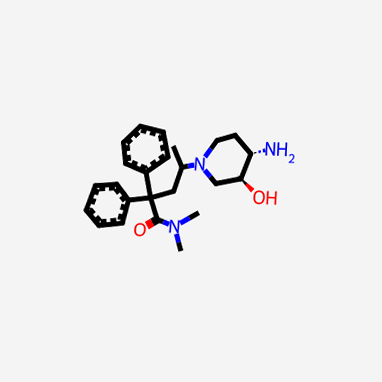 CC(CC(C(=O)N(C)C)(c1ccccc1)c1ccccc1)N1CC[C@H](N)[C@@H](O)C1